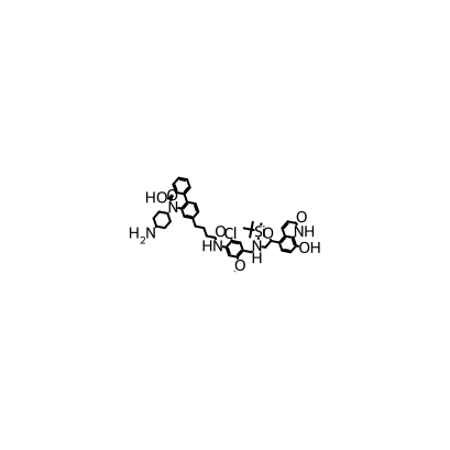 COc1cc(NC(=O)CCCc2ccc(-c3ccccc3)c(N(C(=O)O)[C@H]3CC[C@H](N)CC3)c2)c(Cl)cc1CNCC(O[Si](C)(C)C(C)(C)C)c1ccc(O)c2[nH]c(=O)ccc12